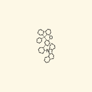 c1ccc(C2(c3ccccc3)c3ccccc3Oc3ccc(-c4ccccc4-n4c5ccccc5c5ccc6ccccc6c54)cc32)cc1